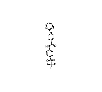 O=C(Nc1ccc(S(=O)(=O)C(F)(F)F)cc1)C1=CCN(c2ncccn2)CC1